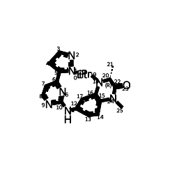 CCn1nccc1-c1ccnc(Nc2ccc3c(c2)N(C(C)C)[C@H](C)C(=O)N3C)n1